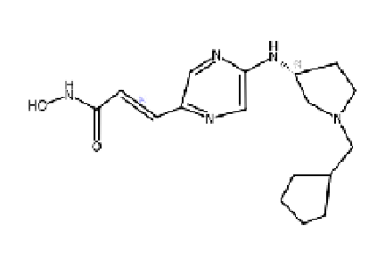 O=C(/C=C/c1cnc(N[C@@H]2CCN(CC3CCCC3)C2)cn1)NO